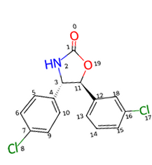 O=C1N[C@@H](c2ccc(Cl)cc2)[C@H](c2cccc(Cl)c2)O1